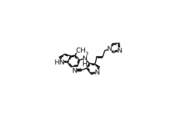 Cc1c(Nc2c(C#N)cncc2C=CCn2ccnc2)ccc2[nH]ccc12